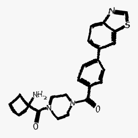 NC1(C(=O)N2CCN(C(=O)c3ccc(-c4ccc5ncsc5c4)cc3)CC2)CCC1